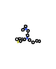 CC12C=CC=CC1Sc1ccc(-c3ccc(N(c4ccc(-c5cccc(-c6ccc7ccccc7c6)c5)cc4)c4ccc(-c5cccc(-n6c7ccccc7c7ccccc76)c5)cc4)cc3)cc12